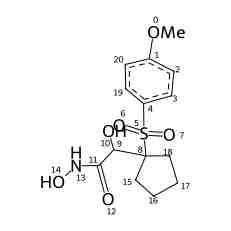 COc1ccc(S(=O)(=O)C2(C(O)C(=O)NO)CCCC2)cc1